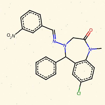 CN1C(=O)CN(N=Cc2cccc([N+](=O)[O-])c2)C(c2ccccc2)c2cc(Cl)ccc21